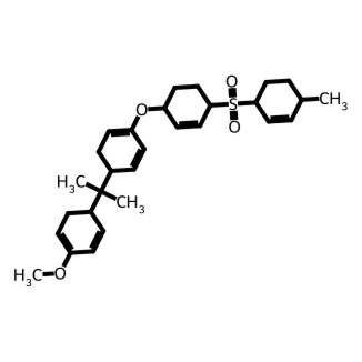 COC1=CCC(C(C)(C)C2C=CC(OC3C=CC(S(=O)(=O)C4C=CC(C)CC4)CC3)=CC2)C=C1